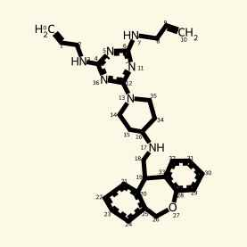 C=CCNc1nc(NCC=C)nc(N2CCC(NCC3c4ccccc4COc4ccccc43)CC2)n1